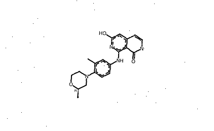 Cc1cc(Nc2nc(O)cc3c2C(=O)[N]C=C3)ccc1N1CCO[C@H](C)C1